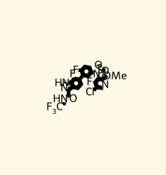 COc1ncc(Cl)cc1N(c1ccc(F)c(-c2ccc3c(C(=O)NCC(F)(F)F)n[nH]c3c2F)c1F)[SH](=O)=O